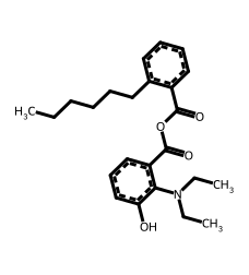 CCCCCCc1ccccc1C(=O)OC(=O)c1cccc(O)c1N(CC)CC